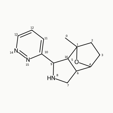 CC12CCC(O1)C1CNC(c3cc[c]nn3)C12